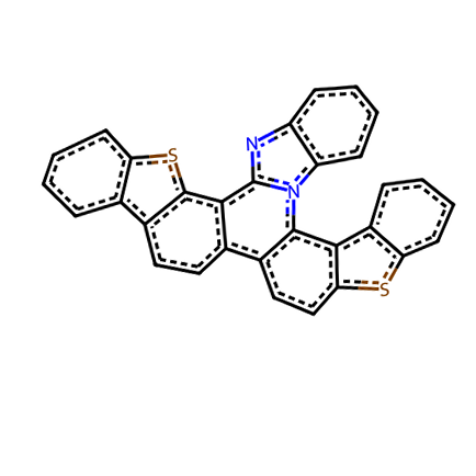 c1ccc2c(c1)nc1c3c(ccc4c5ccccc5sc43)c3ccc4sc5ccccc5c4c3n21